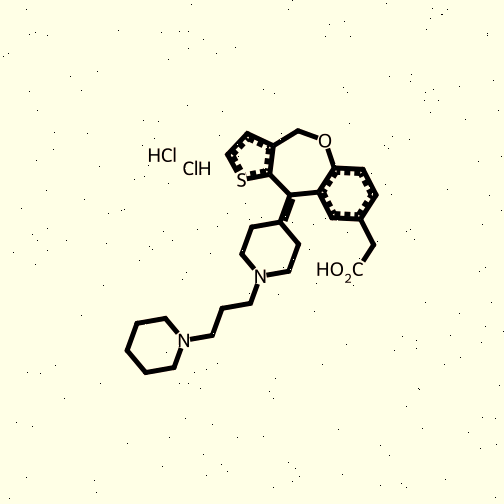 Cl.Cl.O=C(O)Cc1ccc2c(c1)C(=C1CCN(CCCN3CCCCC3)CC1)c1sccc1CO2